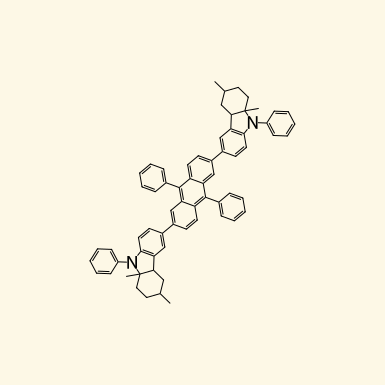 CC1CCC2(C)C(C1)c1cc(-c3ccc4c(-c5ccccc5)c5cc(-c6ccc7c(c6)C6CC(C)CCC6(C)N7c6ccccc6)ccc5c(-c5ccccc5)c4c3)ccc1N2c1ccccc1